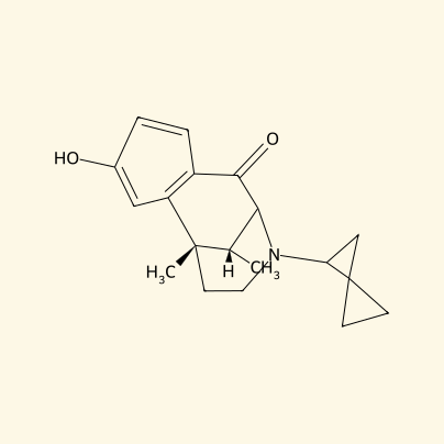 C[C@H]1C2C(=O)c3ccc(O)cc3[C@@]1(C)CCN2C1CC12CC2